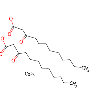 CCCCCCCCCC(=O)CC(=O)[O-].CCCCCCCCCC(=O)CC(=O)[O-].[Co+2]